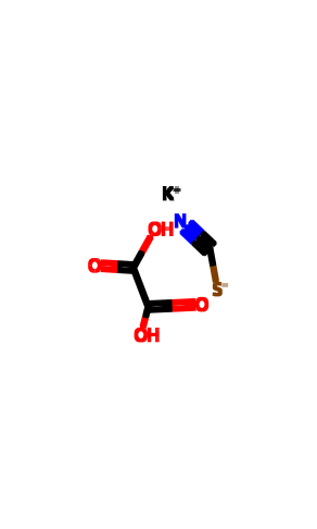 N#C[S-].O=C(O)C(=O)O.[K+]